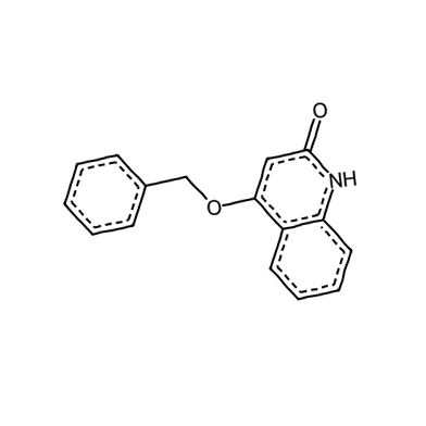 O=c1cc(OCc2ccccc2)c2ccccc2[nH]1